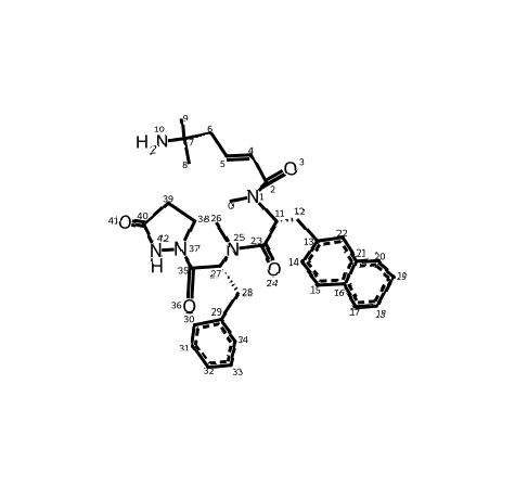 CN(C(=O)/C=C/CC(C)(C)N)[C@H](Cc1ccc2ccccc2c1)C(=O)N(C)[C@H](Cc1ccccc1)C(=O)N1CCC(=O)N1